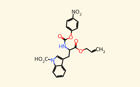 C=CCOC(=O)C(Cc1cn(C(=O)O)c2ccccc12)NC(=O)Oc1ccc([N+](=O)[O-])cc1